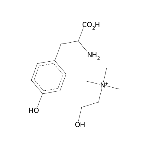 C[N+](C)(C)CCO.NC(Cc1ccc(O)cc1)C(=O)O